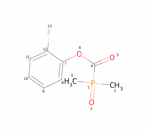 CP(C)(=O)C(=O)Oc1ccccc1F